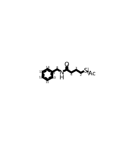 CC(=O)SCCCC(=O)NCc1ccccc1